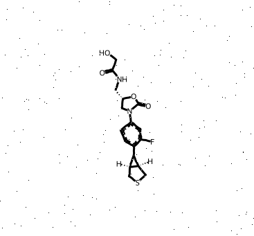 O=C(CO)NC[C@H]1CN(c2ccc(C3[C@H]4CSC[C@@H]34)c(F)c2)C(=O)O1